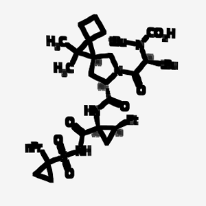 CCCC1(S(=O)(=O)NC(=O)[C@@]2(NC(=O)[C@@H]3C[C@@]4(CN3C(=O)[C@@H](N(C(=O)O)C(C)(C)C)C(C)(C)C)C(C)(C)C43CCC3)C[C@@H]2CC)CC1